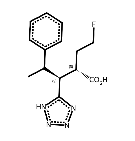 CC(c1ccccc1)[C@H](c1nnn[nH]1)[C@H](CCF)C(=O)O